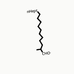 CCCCCCCCCCCCCCCCC(C)[C]=O